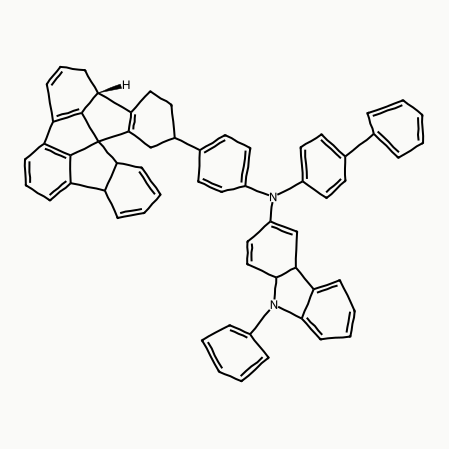 C1=CC2c3cccc4c3C3(C5=C(CCC(c6ccc(N(C7=CC8c9ccccc9N(c9ccccc9)C8C=C7)c7ccc(-c8ccccc8)cc7)cc6)C5)[C@H]5CC=CC4=C53)C2C=C1